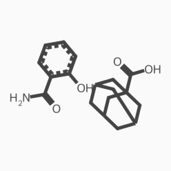 NC(=O)c1ccccc1O.O=C(O)C12CC3CC(CC(C3)C1)C2